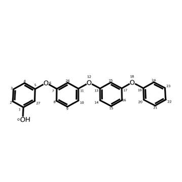 Oc1cccc(Oc2cccc(Oc3cccc(Oc4ccccc4)c3)c2)c1